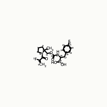 C=C(F)C(=O)N1CCCC1(C)COC(=O)NC(Cc1ccc(F)cc1)B(O)O